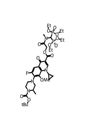 CCOP(=O)(OCC)C(N(C)C(=O)COC(=O)c1cn(C2CC2)c2c(OC)c(N3CCN(C(=O)OC(C)(C)C)C(C)C3)c(F)cc2c1=O)P(=O)(OCC)OCC